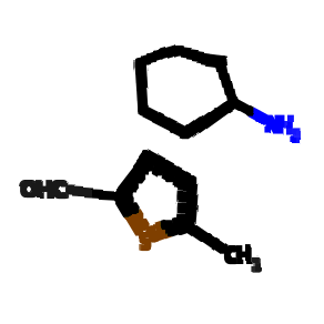 Cc1ccc(C=O)s1.NC1CCCCC1